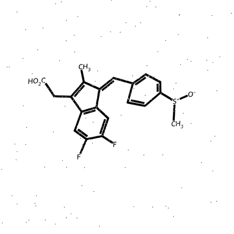 CC1=C(CC(=O)O)c2cc(F)c(F)cc2/C1=C\c1ccc([S+](C)[O-])cc1